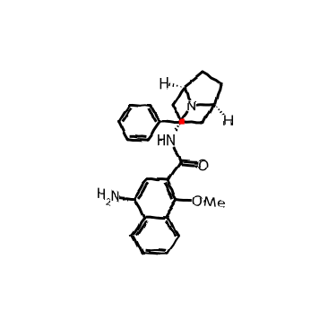 COc1c(C(=O)N[C@@H]2C[C@H]3CC[C@@H](C2)N3Cc2ccccc2)cc(N)c2ccccc12